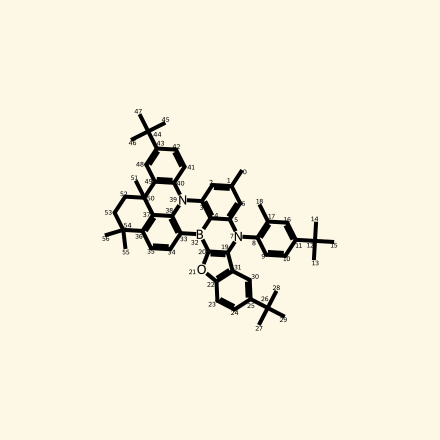 Cc1cc2c3c(c1)N(c1ccc(C(C)(C)C)cc1C)c1c(oc4ccc(C(C)(C)C)cc14)B3c1ccc3c4c1N2c1ccc(C(C)(C)C)cc1C4(C)CCC3(C)C